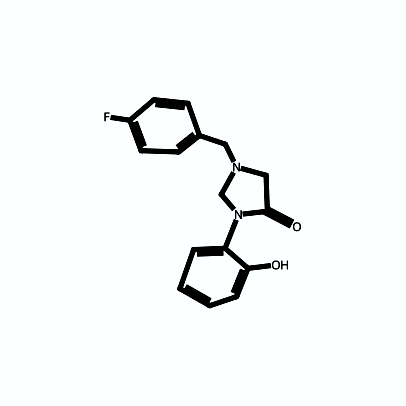 O=C1CN(Cc2ccc(F)cc2)CN1c1ccccc1O